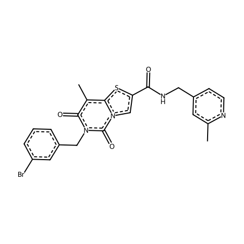 Cc1cc(CNC(=O)c2cn3c(=O)n(Cc4cccc(Br)c4)c(=O)c(C)c3s2)ccn1